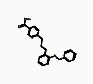 COC(=O)c1ccc(CCCc2ccccc2OCc2ccccc2)nc1